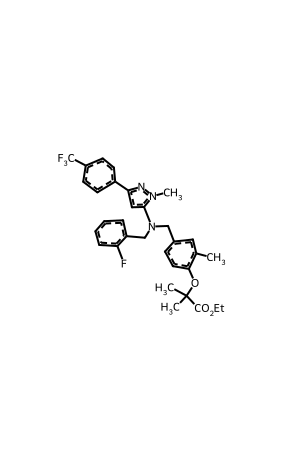 CCOC(=O)C(C)(C)Oc1ccc(CN(Cc2ccccc2F)c2cc(-c3ccc(C(F)(F)F)cc3)nn2C)cc1C